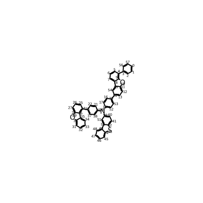 c1ccc(-c2cccc3c2oc2ccc(-c4ccc(N(c5ccc(-c6cccc7oc8ccccc8c67)cc5)c5ccc6sc7ccccc7c6c5)cc4)cc23)cc1